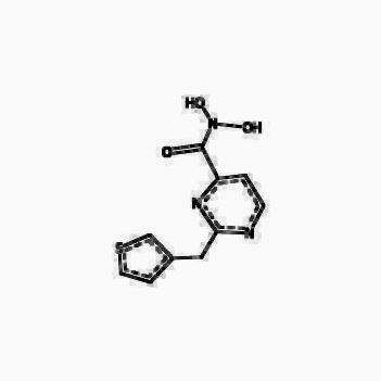 O=C(c1ccnc(Cc2ccsc2)n1)N(O)O